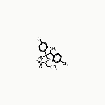 CC(NS(=O)(=O)OCC(Cl)(Cl)Cl)(c1ccc(Cl)cc1)C(N)c1ccc(C(F)(F)F)cc1